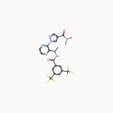 CC(NC(=O)c1cc(C(F)(F)F)cc(C(F)(F)F)c1)c1nccnc1-n1cc(C(=O)N(C)C)cn1